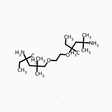 CCC(C)(N)CC(C)(C)COCCOC(C)(CC)CC(C)(C)N